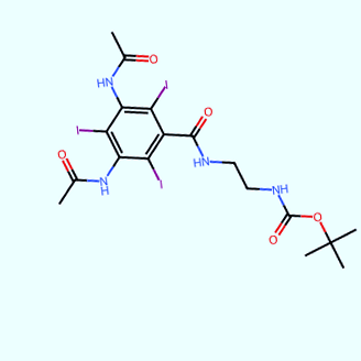 CC(=O)Nc1c(I)c(NC(C)=O)c(I)c(C(=O)NCCNC(=O)OC(C)(C)C)c1I